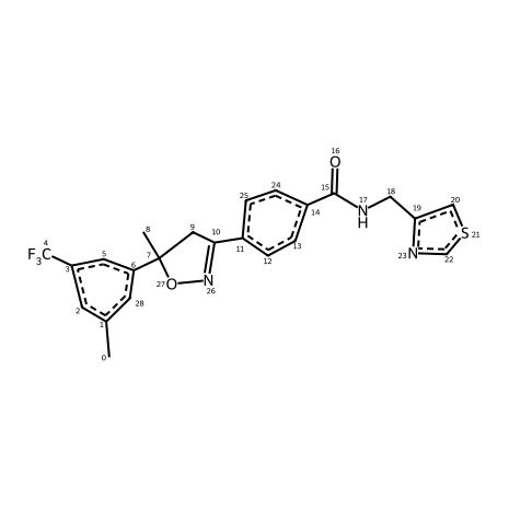 Cc1cc(C(F)(F)F)cc(C2(C)CC(c3ccc(C(=O)NCc4cscn4)cc3)=NO2)c1